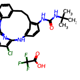 CC(C)(C)NC(=O)Nc1ccc2cc1CCc1cccc(c1)Nc1ncc(Cl)c(n1)N2.O=C(O)C(F)(F)F